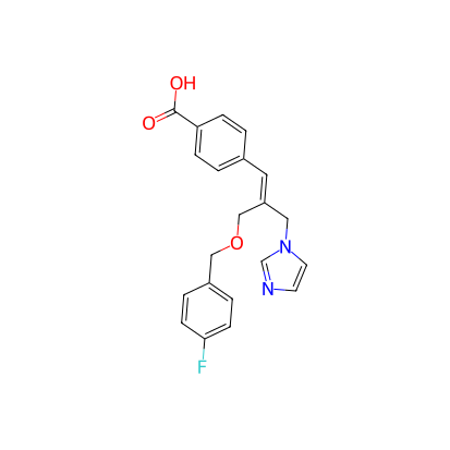 O=C(O)c1ccc(C=C(COCc2ccc(F)cc2)Cn2ccnc2)cc1